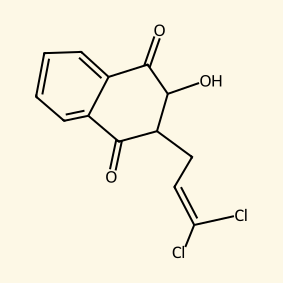 O=C1c2ccccc2C(=O)C(CC=C(Cl)Cl)C1O